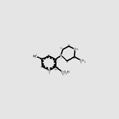 CC1CN(c2cc(C#N)cnc2C(=O)O)CCO1